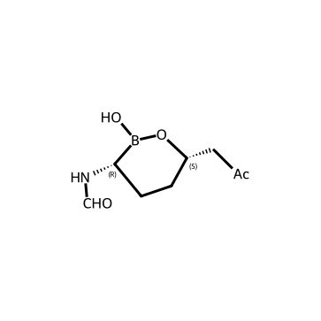 CC(=O)C[C@@H]1CC[C@H](NC=O)B(O)O1